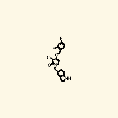 O=c1c(Cl)c(OCc2ccc(F)cc2F)ccn1Cc1ccc2[nH]ccc2c1